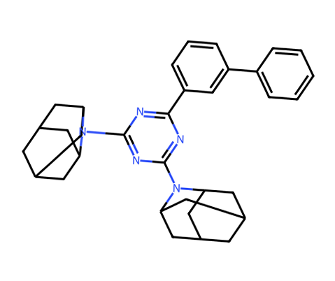 c1ccc(-c2cccc(-c3nc(N4C5CC6CC(C5)CC4C6)nc(N4C5CC6CC(C5)CC4C6)n3)c2)cc1